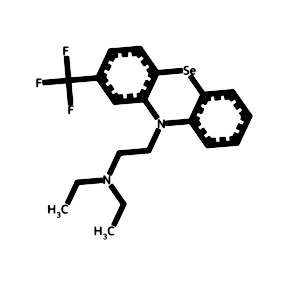 CCN(CC)CCN1c2ccccc2[Se]c2ccc(C(F)(F)F)cc21